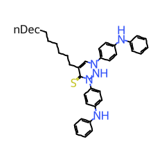 CCCCCCCCCCCCCCCCC1=CN(c2ccc(Nc3ccccc3)cc2)NN(c2ccc(Nc3ccccc3)cc2)C1=S